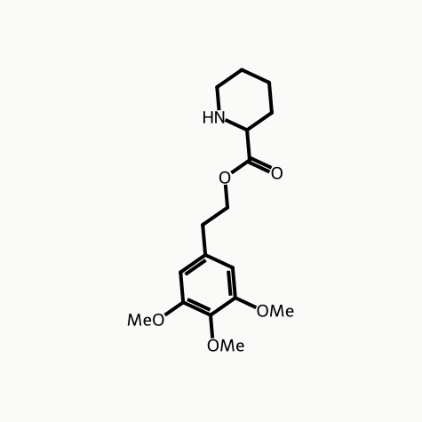 COc1cc(CCOC(=O)C2CCCCN2)cc(OC)c1OC